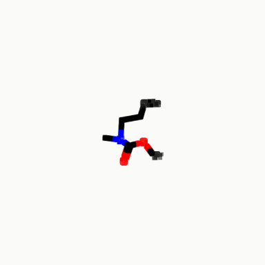 COCCN(C)C(=O)OC(C)C